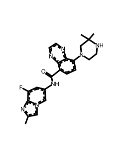 Cc1cn2cc(NC(=O)c3ccc(N4CCNC(C)(C)C4)c4nccnc34)cc(F)c2n1